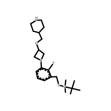 CC(C)(C)[Si](C)(C)OCc1cccc(N2CC(OCC3CCNCC3)C2)c1F